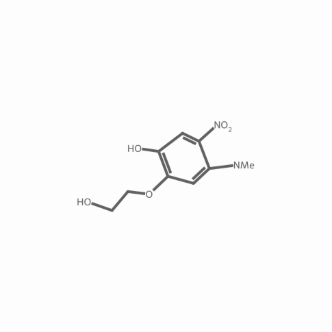 CNc1cc(OCCO)c(O)cc1[N+](=O)[O-]